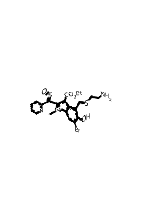 CCOC(=O)c1c(C(=S=O)c2ccccn2)n(C)c2cc(Br)c(O)c(CSCCN)c12